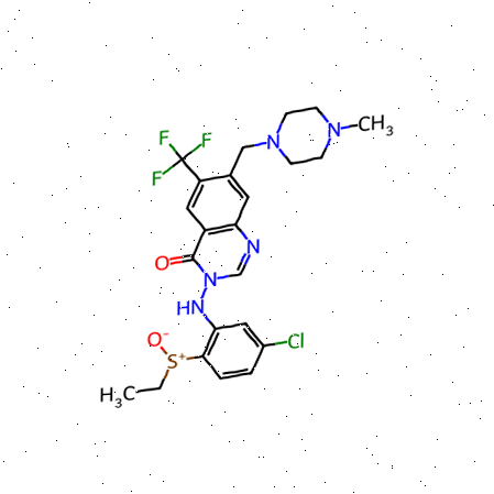 CC[S+]([O-])c1ccc(Cl)cc1Nn1cnc2cc(CN3CCN(C)CC3)c(C(F)(F)F)cc2c1=O